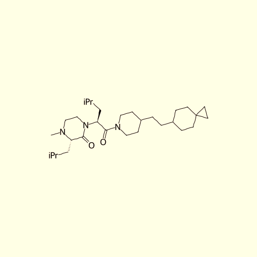 CC(C)C[C@H]1C(=O)N([C@@H](CC(C)C)C(=O)N2CCC(CCC3CCC4(CC3)CC4)CC2)CCN1C